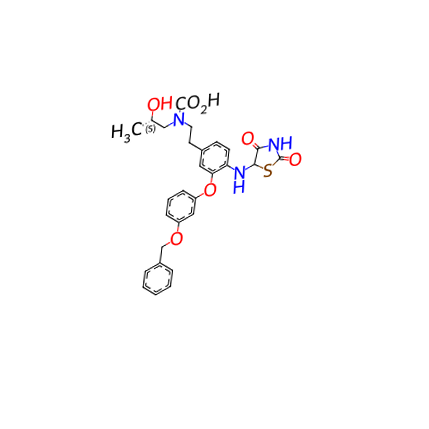 C[C@H](O)CN(CCc1ccc(NC2SC(=O)NC2=O)c(Oc2cccc(OCc3ccccc3)c2)c1)C(=O)O